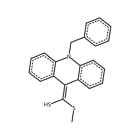 CSC(S)=C1c2ccccc2N(Cc2ccccc2)c2ccccc21